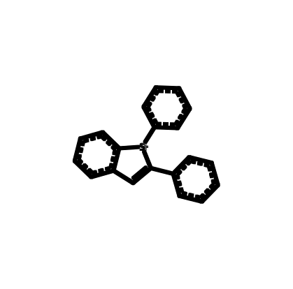 C1=C(c2ccccc2)[Si](c2ccccc2)c2ccccc21